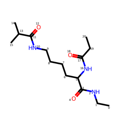 CCNC(=O)C(CCCCNC(=O)C(C)C)NC(=O)CC